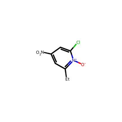 CCc1cc([N+](=O)[O-])cc(Cl)[n+]1[O-]